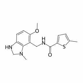 COc1ccc2c(c1CNC(=O)c1ccc(C)s1)N(C)CN2